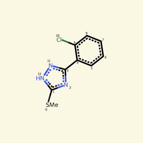 [CH2]Sc1nc(-c2ccccc2Cl)n[nH]1